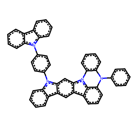 c1ccc(N2c3ccccc3-n3c4cc5c(cc4c4cccc2c43)c2ccccc2n5-c2ccc(-n3c4ccccc4c4ccccc43)cc2)cc1